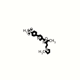 Cc1oc(-c2ccc(-c3ccc(S(C)(=O)=O)cc3)nc2)nc1CCN1CCCC1C